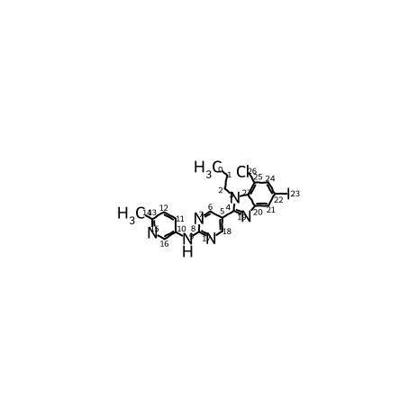 CCCn1c(-c2cnc(Nc3ccc(C)nc3)nc2)nc2cc(I)cc(Cl)c21